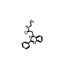 CC(C)CN(C)C(=O)Cc1nc(-c2ccccc2)nc2ccccc12